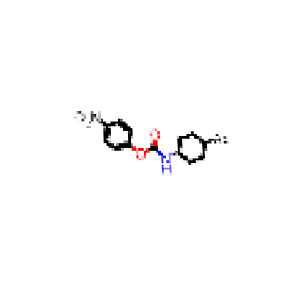 CC(=O)[C@H]1CC[C@H](NC(=O)Oc2ccc([N+](=O)[O-])cc2)CC1